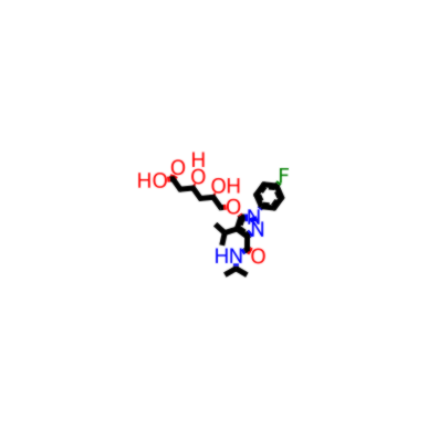 CC(C)NC(=O)c1nn(-c2ccc(F)cc2)c(OC[C@@H](O)C[C@@H](O)CC(=O)O)c1C(C)C